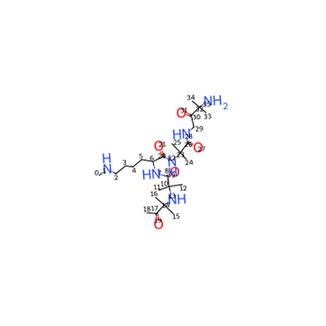 CNCCCCC(NC(=O)C(C)(C)NC(C)(C)C(C)=O)C(=O)NC(C)(C)C(=O)NCC(=O)C(C)(C)N